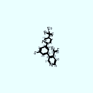 Fc1cc(-c2ccc(C(F)(F)F)cn2)cc(-c2cnccc2C(F)F)c1